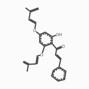 C=C(C)C=COc1cc(O)c(C(=O)C=Cc2ccccc2)c(OC=CC(=C)C)c1